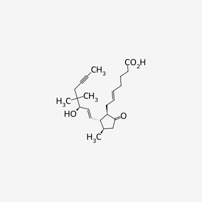 CC#CCC(C)(C)[C@H](O)C=C[C@H]1[C@H](C)CC(=O)[C@@H]1CC=CCCCC(=O)O